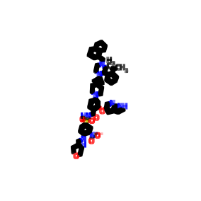 CC(C)c1ccccc1C1CN(Cc2cccc3c2CCCC3)CCN1C1CC2(CCN(c3ccc(C(=O)NS(=O)(=O)c4ccc(NCC5CCOCC5)c([N+](=O)[O-])c4)c(Oc4cnc5[nH]ccc5c4)c3)CC2)C1